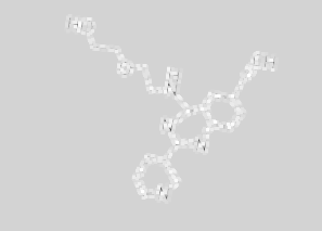 C#Cc1ccc2nc(-c3cccnc3)nc(NCCOCCO)c2c1